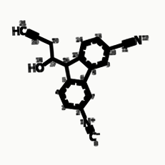 [C-]#[N+]c1ccc2c(c1)-c1cc(C#N)ccc1C2C(O)CC#C